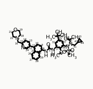 COc1c(NC(=O)Nc2ccc(-c3ccc(CN4CCOCC4)nc3)c3ccccc23)cc(C(C)(C)C)cc1N(N(CC1CC1)C(C)=O)S(C)(=O)=O